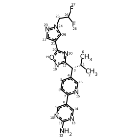 CC(C)[C@H](c1ccc(-c2cnc(N)nc2)nc1)c1noc(-c2cnn(CC(F)F)c2)n1